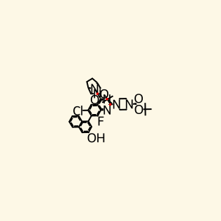 CC(C)(C)OC(=O)N1CCN(c2nc(N3CC4CCC(C3)N4C(=O)OC(C)(C)C)c3cc(Cl)c(-c4cc(O)cc5ccccc45)c(F)c3n2)CC1